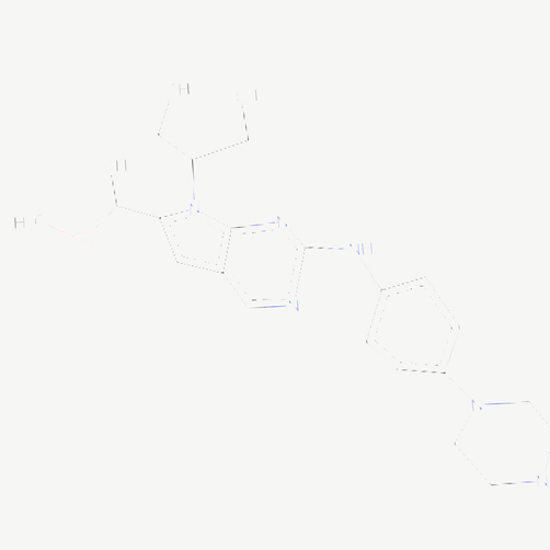 CCC(CC)n1c(C(C)OC)cc2cnc(Nc3ccc(N4CCNCC4)cc3)nc21